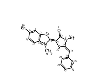 CCn1c(=O)/c(=C2\Sc3cc(Br)ccc3N2C)s/c1=C\c1ccccn1